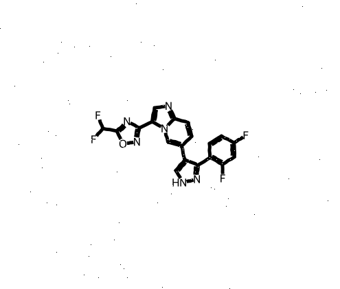 Fc1ccc(-c2n[nH]cc2-c2ccc3ncc(-c4noc(C(F)F)n4)n3c2)c(F)c1